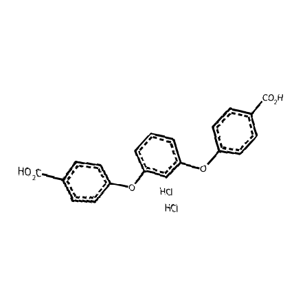 Cl.Cl.O=C(O)c1ccc(Oc2cccc(Oc3ccc(C(=O)O)cc3)c2)cc1